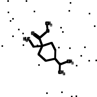 CCC1(C(=O)OC)CCC(C(C)C)CC1